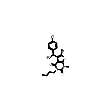 CCCCn1c(=O)c2c(C(O)c3ccc(Cl)cc3)c(Br)sc2n(C)c1=O